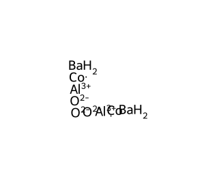 [Al+3].[Al+3].[BaH2].[BaH2].[Co].[Co].[O-2].[O-2].[O-2]